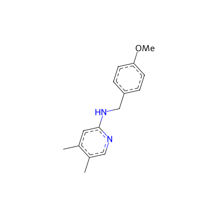 COc1ccc(CNc2cc(C)c(C)cn2)cc1